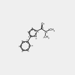 CN(C)C(=O)n1ccc(-c2ccccc2)n1